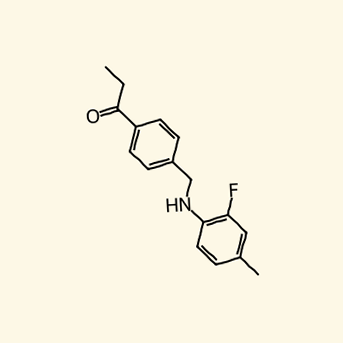 CCC(=O)c1ccc(CNc2ccc(C)cc2F)cc1